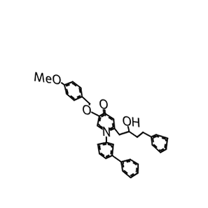 COc1ccc(COc2cn(-c3cccc(-c4ccccc4)c3)c(CC(O)CCc3ccccc3)cc2=O)cc1